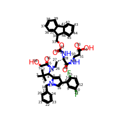 CC(C)(C)[C@H](c1cc(-c2cc(F)ccc2F)cn1Cc1ccccc1)N(CC[C@H](NC(=O)OCC1c2ccccc2-c2ccccc21)C(=O)NCCC(=O)O)C(=O)CO